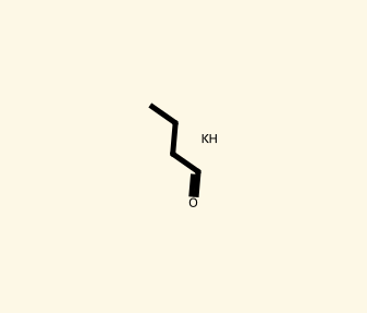 CCCC=O.[KH]